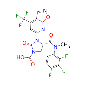 CN(C(=O)[C@@H]1CN(C(=O)O)C(=O)N1c1cc(C(F)(F)F)c2cnoc2n1)c1ccc(F)c(Cl)c1F